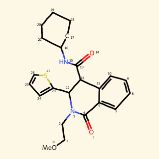 COCCN1C(=O)c2ccccc2C(C(=O)NC2CCCCC2)C1c1cccs1